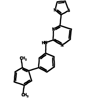 Cc1ccc(C)c(-c2cccc(Nc3nccc(-c4nccs4)n3)c2)c1